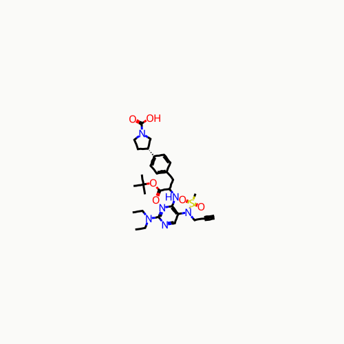 C#CCN(c1cnc(N(CC)CC)nc1NC(Cc1ccc([C@@H]2CCN(C(=O)O)C2)cc1)C(=O)OC(C)(C)C)S(C)(=O)=O